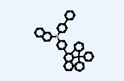 c1ccc(-c2ccc(N(c3ccc(-c4cc5ccccc5c5c4-c4ccccc4C5(c4ccccc4)c4ccccc4)cc3)c3ccc4ccccc4c3)cc2)cc1